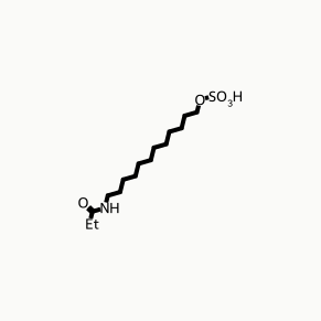 CCC(=O)NCCCCCCCCCCCCOS(=O)(=O)O